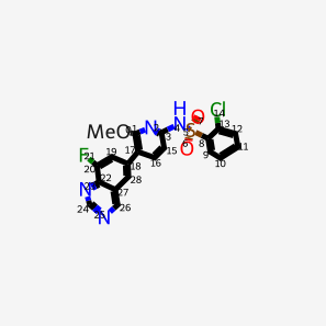 COc1nc(NS(=O)(=O)c2ccccc2Cl)ccc1-c1cc(F)c2ncncc2c1